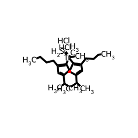 CCCCC1=[C]([Ti]([CH3])([CH3])(=[SiH2])[C]2=C(CCCC)C=C(C(C)C)C2)CC(C(C)C)=C1.Cl.Cl